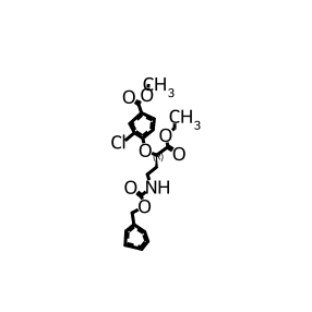 CCOC(=O)[C@@H](CCNC(=O)OCc1ccccc1)Oc1ccc(C(=O)OC)cc1Cl